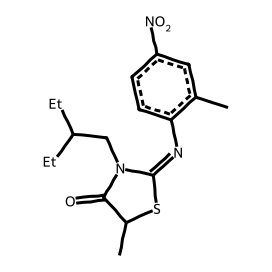 CCC(CC)CN1C(=O)C(C)SC1=Nc1ccc([N+](=O)[O-])cc1C